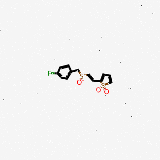 O=S1(=O)C=CC=C1C=C[S+]([O-])Cc1ccc(F)cc1